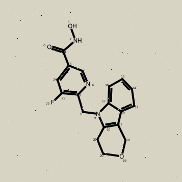 O=C(NO)c1cnc(Cn2c3c(c4ccccc42)COCC3)c(F)c1